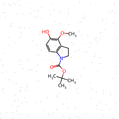 COc1c(O)ccc2c1CCN2C(=O)OC(C)(C)C